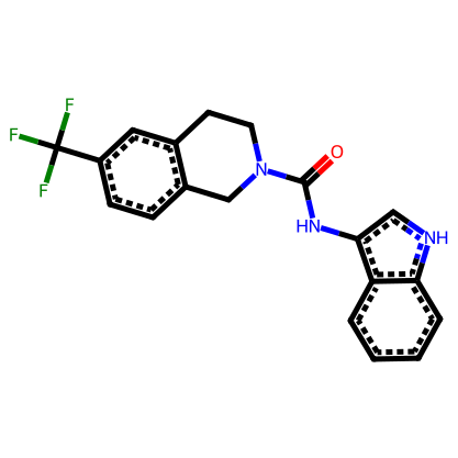 O=C(Nc1c[nH]c2ccccc12)N1CCc2cc(C(F)(F)F)ccc2C1